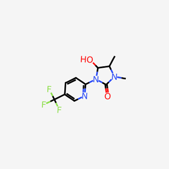 CC1C(O)N(c2ccc(C(F)(F)F)cn2)C(=O)N1C